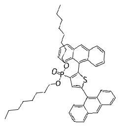 CCCCCCCCOP(=O)(OCCCCCCCC)c1cc(-c2c3ccccc3cc3ccccc23)sc1-c1c2ccccc2cc2ccccc12